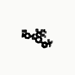 CN(C)C(=O)[C@@H](CCN1CCC2(CC2)[C@H](O)C1)N1CCN(c2cccc(C(F)(F)F)c2)CCC1=O